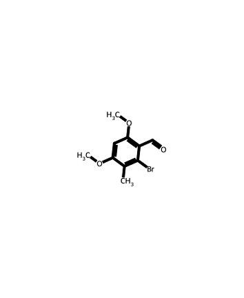 COc1cc(OC)c(C=O)c(Br)c1C